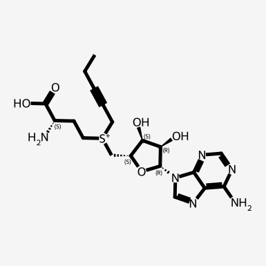 CCC#CC[S+](CC[C@H](N)C(=O)O)C[C@H]1O[C@@H](n2cnc3c(N)ncnc32)[C@H](O)[C@@H]1O